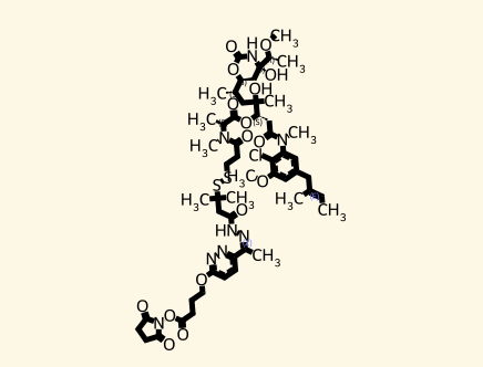 C/C=C(\C)Cc1cc(OC)c(Cl)c(N(C)C(=O)C[C@H](OC(=O)[C@H](C)N(C)C(=O)CCSSC(C)(C)CC(=O)N/N=C(/C)c2ccc(OCCCC(=O)ON3C(=O)CCC3=O)nn2)C(C)(O)C[C@H](C)[C@@H]2C[C@](O)([C@@H](C)OC)NC(=O)O2)c1